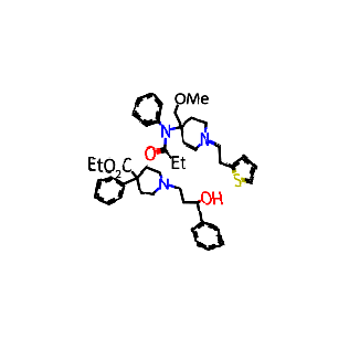 CCC(=O)N(c1ccccc1)C1(COC)CCN(CCc2cccs2)CC1.CCOC(=O)C1(c2ccccc2)CCN(CCC(O)c2ccccc2)CC1